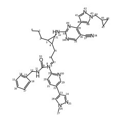 CCCC1C(CC/C=[N+](\C(=O)NCc2ccccc2)c2ccc(-c3cnn(C)c3)cn2)[C@@H]1Nc1ncc(C#N)c(-c2cnn(CC3CC3)c2)n1